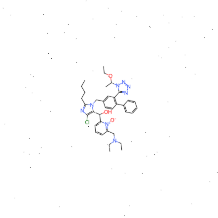 CCCCc1nc(Cl)c(C(O)c2cccc(CN(CC)CC)[n+]2[O-])n1Cc1ccc(-c2ccccc2)c(-c2nnnn2C(C)OCC)c1